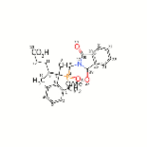 [CH2]c1ccccc1C(C)(C(C)CCC(=O)O)P(=O)(CN1C(=O)c2ccccc2C1=O)OC